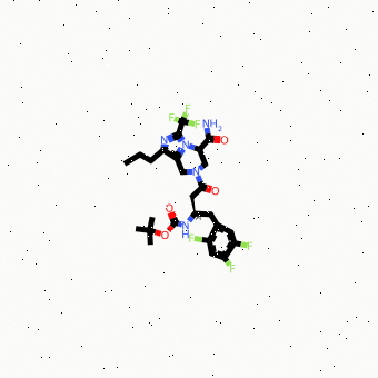 CCCc1nc(C(F)(F)F)n2c1CN(C(=O)C[C@@H](Cc1cc(F)c(F)cc1F)NC(=O)OC(C)(C)C)CC2C(N)=O